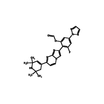 CC1(C)C=C(c2ccn3cc(-c4c(F)cc(-n5nccn5)cc4OC=O)nc3n2)CC(C)(C)N1